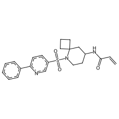 C=CC(=O)NC1CCN(S(=O)(=O)c2ccc(-c3ccccc3)nc2)C2(CCC2)C1